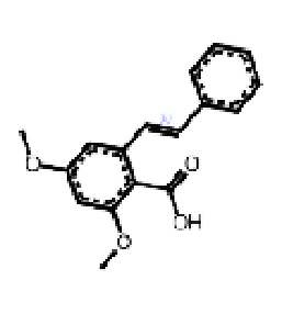 COc1cc(/C=C/c2ccccc2)c(C(=O)O)c(OC)c1